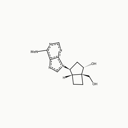 CNc1ncnc2c1ncn2[C@H]1C[C@H](O)[C@]2(CO)CC[C@H]12